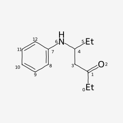 CCC(=O)CC(CC)Nc1ccccc1